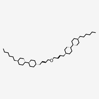 CCCCCC[C@H]1CC[C@H]([C@H]2CC[C@H](CC=CCOCC=CC[C@H]3CC[C@H]([C@H]4CC[C@H](CCCCCC)CC4)CC3)CC2)CC1